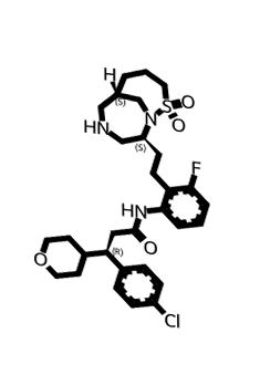 O=C(C[C@@H](c1ccc(Cl)cc1)C1CCOCC1)Nc1cccc(F)c1CC[C@H]1CNC[C@@H]2CCCS(=O)(=O)N1C2